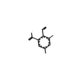 O=Cc1c(F)cc(F)cc1C(=O)O